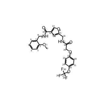 COc1ccccc1CNC(=O)c1coc(CNC(=O)COc2ccc(OC(F)(F)F)cc2)n1